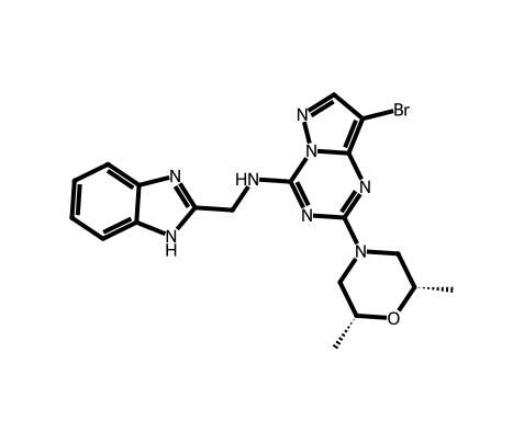 C[C@@H]1CN(c2nc(NCc3nc4ccccc4[nH]3)n3ncc(Br)c3n2)C[C@H](C)O1